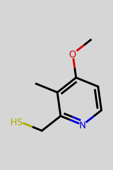 COc1ccnc(CS)c1C